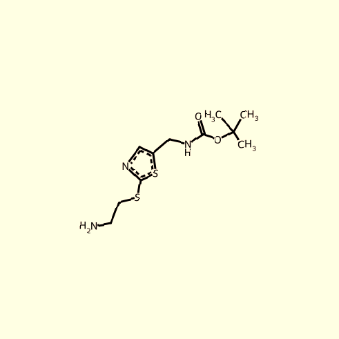 CC(C)(C)OC(=O)NCc1cnc(SCCN)s1